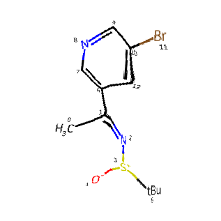 CC(=N[S+]([O-])C(C)(C)C)c1cncc(Br)c1